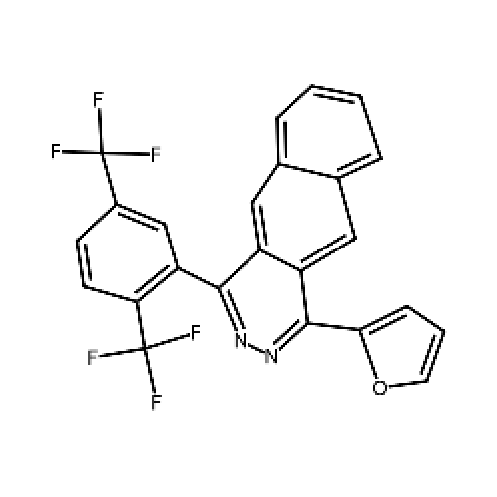 FC(F)(F)c1ccc(C(F)(F)F)c(-c2nnc(-c3ccco3)c3cc4ccccc4cc23)c1